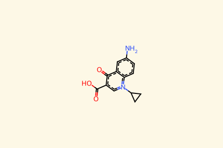 Nc1ccc2c(c1)c(=O)c(C(=O)O)cn2C1CC1